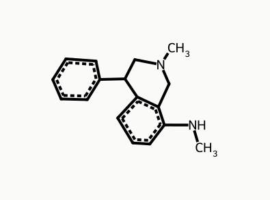 CNc1cccc2c1CN(C)CC2c1ccccc1